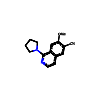 COc1cc2c(N3CCCC3)nccc2cc1C#N